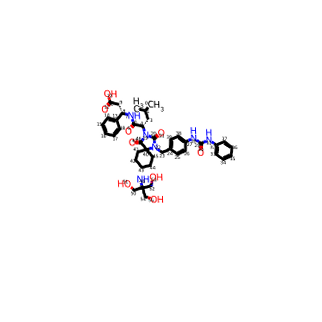 CC(C)C[C@@H](C(=O)N[C@@H](CC(=O)O)c1ccccc1)N1C(=O)N(Cc2ccc(NC(=O)Nc3ccccc3)cc2)C2(CCCCC2)C1=O.NC(CO)(CO)CO